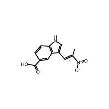 C/C(=C\c1c[nH]c2ccc(C(=O)O)cc12)[N+](=O)[O-]